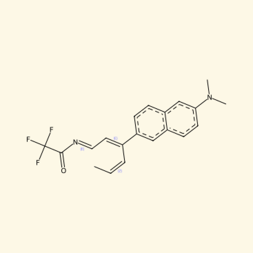 C\C=C/C(=C\C=N\C(=O)C(F)(F)F)c1ccc2cc(N(C)C)ccc2c1